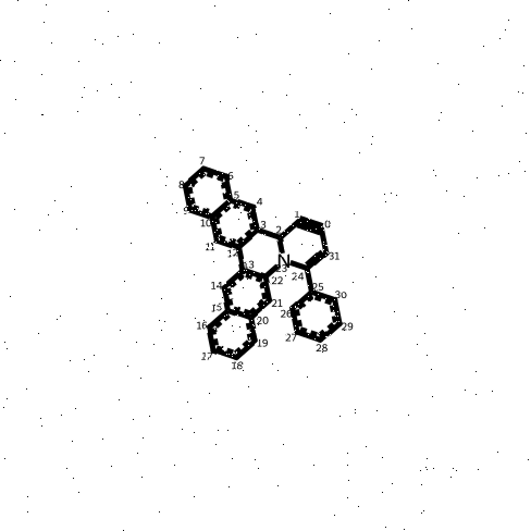 C1#CC2c3cc4ccccc4cc3-c3cc4ccccc4cc3N2C(c2ccccc2)=C1